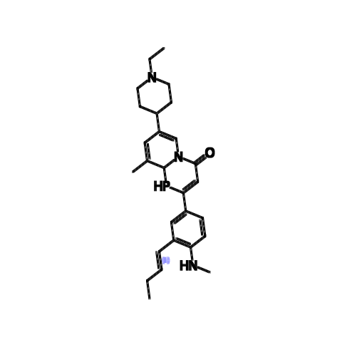 CC/C=C/c1cc(C2=CC(=O)N3C=C(C4CCN(CC)CC4)C=C(C)C3P2)ccc1NC